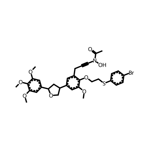 COc1cc(C2COC(c3cc(OC)c(OC)c(OC)c3)C2)cc(CC#CN(O)C(C)=O)c1OCCSc1ccc(Br)cc1